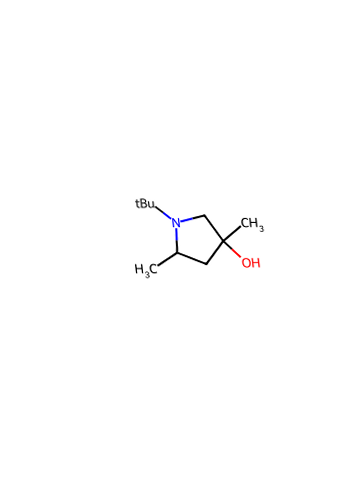 CC1CC(C)(O)CN1C(C)(C)C